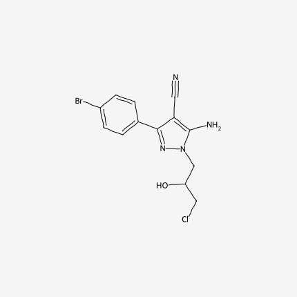 N#Cc1c(-c2ccc(Br)cc2)nn(CC(O)CCl)c1N